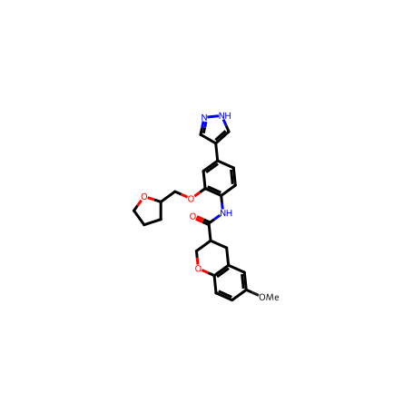 COc1ccc2c(c1)CC(C(=O)Nc1ccc(-c3cn[nH]c3)cc1OCC1CCCO1)CO2